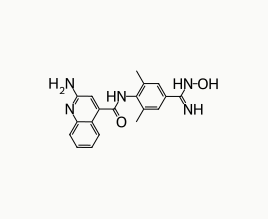 Cc1cc(C(=N)NO)cc(C)c1NC(=O)c1cc(N)nc2ccccc12